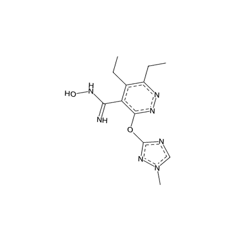 CCc1nnc(Oc2ncn(C)n2)c(C(=N)NO)c1CC